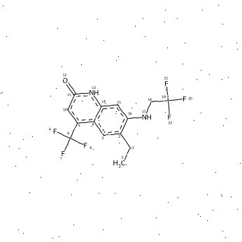 CCc1cc2c(C(F)(F)F)cc(=O)[nH]c2cc1NCC(F)(F)F